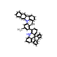 Cc1cc(-c2cccc3c2Nc2ccccc2C32c3ccccc3-c3ccccc32)c2c(c1)-n1c3cc4ccccc4cc3c3cccc(c31)B2